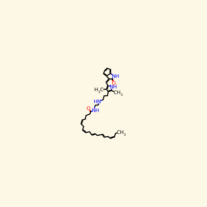 CC/C=C\CC=CCC=CC/C=C\C/C=C\CCCC(=O)NCCNCCCc1c(C)[nH]c(/C=C2\C(=O)Nc3ccccc32)c1C